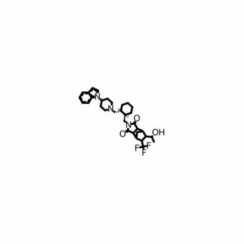 CC(O)C1C2CC(C3C(=O)N(C[C@@H]4CCCC[C@H]4CN4CCC(n5ccc6ccccc65)CC4)C(=O)C23)C1C(F)(F)F